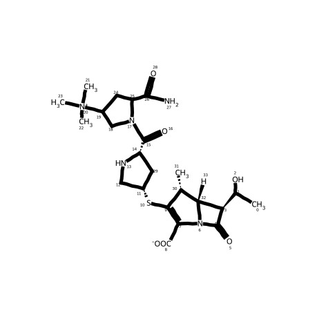 CC(O)[C@H]1C(=O)N2C(C(=O)[O-])=C(S[C@@H]3CN[C@H](C(=O)N4CC([N+](C)(C)C)CC4C(N)=O)C3)[C@H](C)[C@H]12